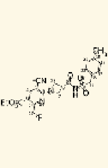 CCOC(=O)c1cc(C#N)c(N2CC(C(=O)NS(=O)(=O)Cc3ccc(C)cc3)C2)nc1CF